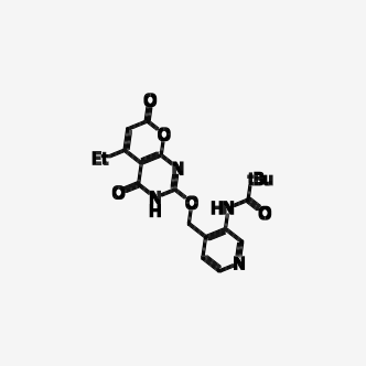 CCc1cc(=O)oc2nc(OCc3ccncc3NC(=O)C(C)(C)C)[nH]c(=O)c12